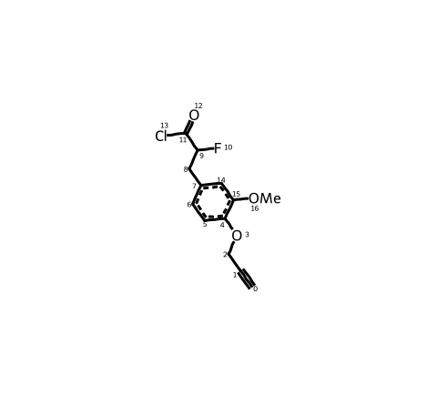 C#CCOc1ccc(CC(F)C(=O)Cl)cc1OC